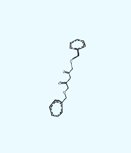 O=C(COCc1ccccc1)CC(=O)COCc1ccccc1